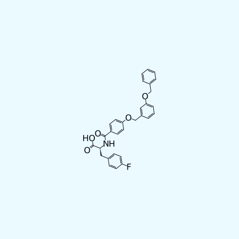 O=C(N[C@@H](Cc1ccc(F)cc1)C(=O)O)c1ccc(OCc2cccc(OCc3ccccc3)c2)cc1